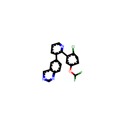 FC(F)Oc1ccc(Cl)c(-c2ncccc2-c2ccc3ncncc3c2)c1